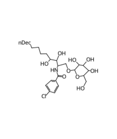 CCCCCCCCCCCCCCC(O)C(O)C(COC1OC(CO)C(O)C(O)C1O)NC(=O)c1ccc(Cl)cc1